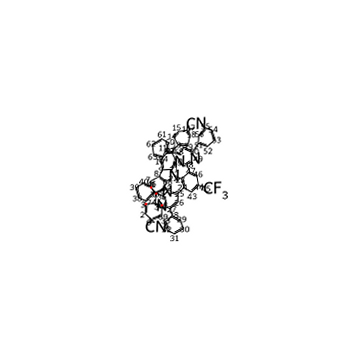 N#Cc1ccc(-c2ccc3c4ccc(-c5ccc(C#N)cc5)cc4n(-c4c(-c5cc(-c6ccccc6)nc(-c6ccccc6)n5)cc(C(F)(F)F)cc4-c4nc(-c5ccccc5)cc(-c5ccccc5)n4)c3c2)cc1